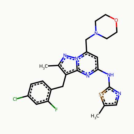 Cc1cnc(Nc2cc(CN3CCOCC3)n3nc(C)c(Cc4ccc(Cl)cc4F)c3n2)s1